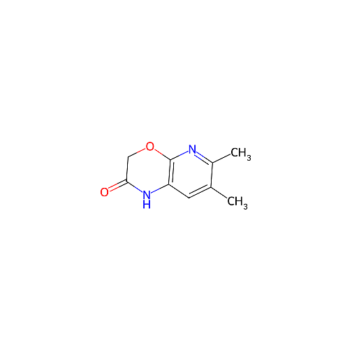 Cc1cc2c(nc1C)OCC(=O)N2